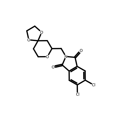 O=C1c2cc(Cl)c(Cl)cc2C(=O)N1CC1CC2(CCO1)OCCO2